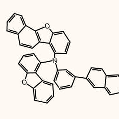 c1cc(-c2ccc3ccccc3c2)cc(N(c2cccc3oc4ccccc4c23)c2cccc3oc4c5ccccc5ccc4c23)c1